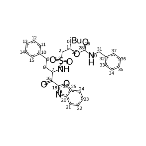 CCC(C)C(CS(=O)(=O)NC(CCc1ccccc1)C(=O)c1nc2ccccc2o1)OC(=O)NCc1ccccc1